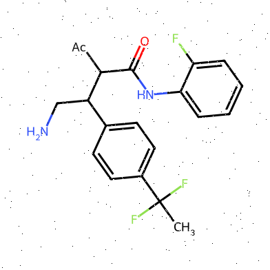 CC(=O)C(C(=O)Nc1ccccc1F)C(CN)c1ccc(C(C)(F)F)cc1